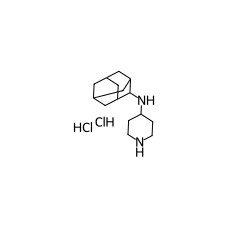 C1CC(NC2C3CC4CC(C3)CC2C4)CCN1.Cl.Cl